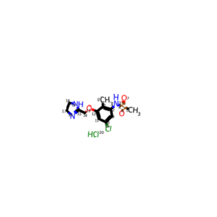 Cc1c(NS(C)(=O)=O)cc(Cl)cc1OCC1=NCCN1.Cl